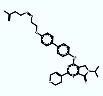 C=C(C)CC/N=N\CCOc1ccc(-c2ccc(Nc3nc(C4=CCOCC4)nc4c3CN(C(C)C)C4=O)cc2)cc1